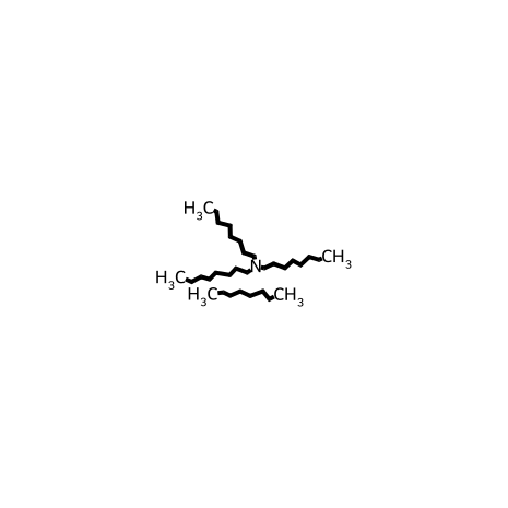 CCCCCCCC.CCCCCCCCN(CCCCCCCC)CCCCCCCC